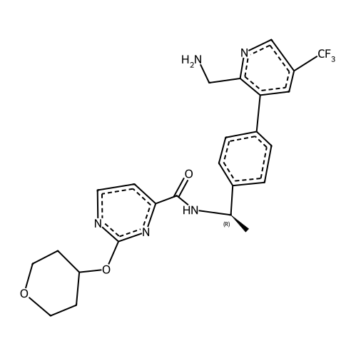 C[C@@H](NC(=O)c1ccnc(OC2CCOCC2)n1)c1ccc(-c2cc(C(F)(F)F)cnc2CN)cc1